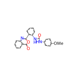 COc1ccc(NC(=O)Nc2ccccc2-c2nc3ccccc3c(=O)o2)cc1